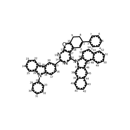 C1=C(c2ccccc2)CCc2oc3nc(-c4ccc5c(c4)c4ccccc4n5-c4ccccc4)nc(-n4c5cc6ccccc6cc5c5c6ccccc6ccc54)c3c21